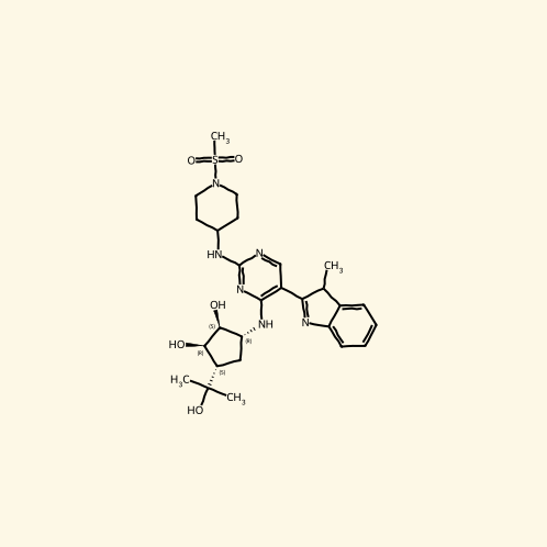 CC1C(c2cnc(NC3CCN(S(C)(=O)=O)CC3)nc2N[C@@H]2C[C@H](C(C)(C)O)[C@@H](O)[C@H]2O)=Nc2ccccc21